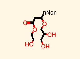 CCCCCCCCCC(CC(=O)OCCO)OCC(O)CO